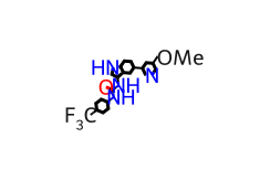 COCc1cncc(-c2ccc3[nH]cc(NC(=O)Nc4ccc(C(F)(F)F)cc4)c3c2)c1